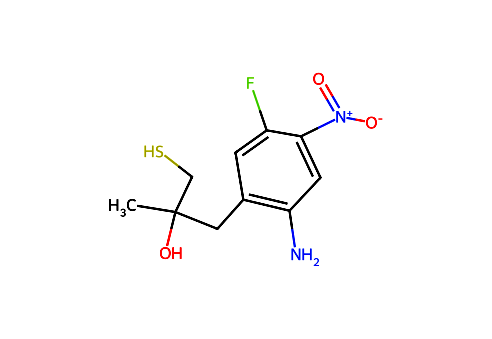 CC(O)(CS)Cc1cc(F)c([N+](=O)[O-])cc1N